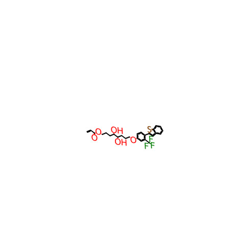 C=CC(=O)OCCCC(O)C(O)CCCOc1ccc(-c2cc3ccccc3s2)c(C(F)(F)F)c1